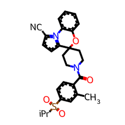 Cc1cc(S(=O)(=O)C(C)C)ccc1C(=O)N1CCC2(CC1)Oc1ccccc1-n1c(C#N)ccc12